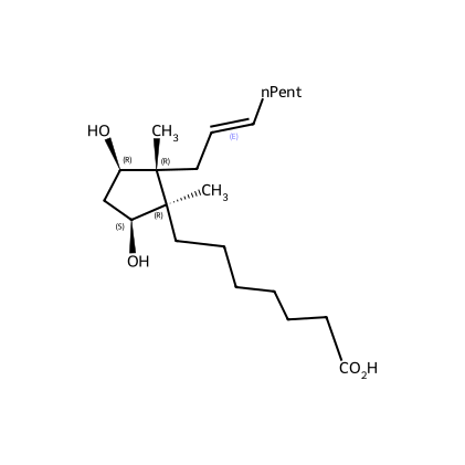 CCCCC/C=C/C[C@@]1(C)[C@H](O)C[C@H](O)[C@]1(C)CCCCCCC(=O)O